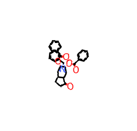 O=C(OC1C(OC(=O)c2ccccc2)C2C3C(=O)CCC3C1N2Cc1ccccc1)c1ccccc1